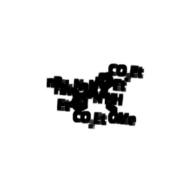 CCCCNc1ncnn2cc(C(=O)OCC)c(CC)c12.CCOC(=O)c1cn2ncnc(NCCOC)c2c1CC